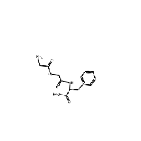 COC(=O)[C@H](Cc1ccccc1)NC(=O)CNC(=O)CN